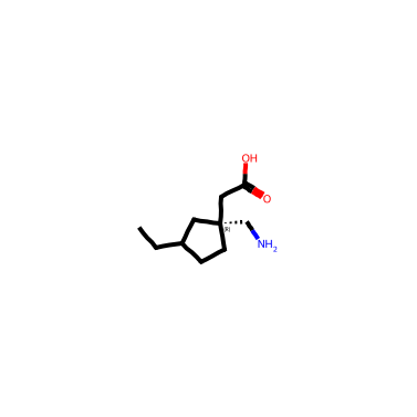 CCC1CC[C@](CN)(CC(=O)O)C1